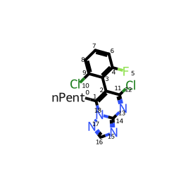 CCCCCc1c(-c2c(F)cccc2Cl)c(Cl)nc2ncnn12